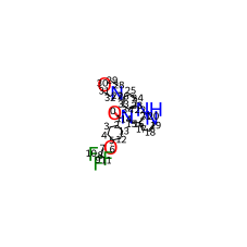 O=C([C@H]1CC[C@@H](OCC(F)(F)F)CC1)N1Cc2cccnc2Nc2ccc(N3CCOCC3)cc21